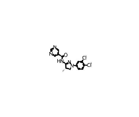 C[C@H]1CN(c2ccc(Cl)c(Cl)c2)N=C1NC(=O)c1cncnc1